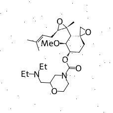 CCN(CC)CC1CN(C(=O)O[C@@H]2CC[C@]3(CO3)[C@@H]([C@@]3(C)O[C@@H]3CC=C(C)C)[C@@H]2OC)CCO1